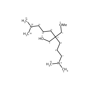 COCC(CO)(CCCN(C)C)CCCN(C)C